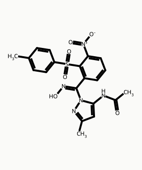 CC(=O)Nc1cc(C)nn1C(=NO)c1cccc([N+](=O)[O-])c1S(=O)(=O)c1ccc(C)cc1